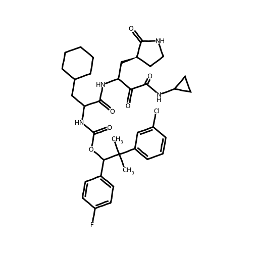 CC(C)(c1cccc(Cl)c1)C(OC(=O)NC(CC1CCCCC1)C(=O)NC(C[C@@H]1CCNC1=O)C(=O)C(=O)NC1CC1)c1ccc(F)cc1